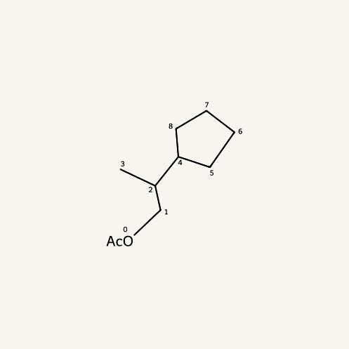 CC(=O)OCC(C)C1CCCC1